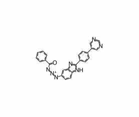 O=C(N=[N+]=Nc1ccc2[nH]c(-c3ccc(-c4cncnc4)cc3)nc2c1)c1ccccc1